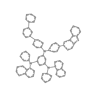 c1ccc(-c2cccc(-c3ccc(N(c4ccc(-c5ccc6sc7ccccc7c6c5)cc4)c4cc(N(c5ccccc5)c5cccc6ccccc56)cc(N(c5ccccc5)c5cccc6ccccc56)c4)cc3)c2)cc1